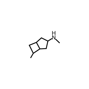 CNC1CC2CC(C)C2C1